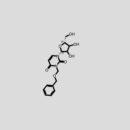 O=c1ccn([C@@H]2O[C@H](CO)C(O)C2O)c(=O)n1COCc1ccccc1